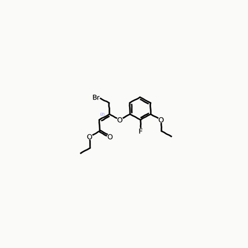 CCOC(=O)/C=C(/CBr)Oc1cccc(OCC)c1F